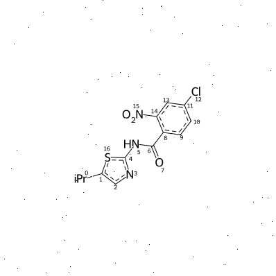 CC(C)c1cnc(NC(=O)c2ccc(Cl)cc2[N+](=O)[O-])s1